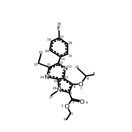 CCOC(=O)c1c(OC(C)C)c2nc(-c3ccc(F)cc3)c(CC)nc2n1C